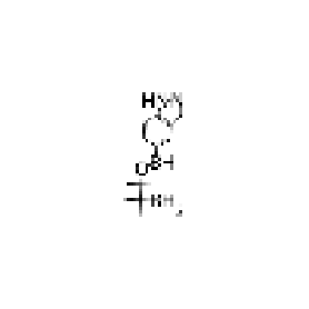 BC(C)(C)C(C)(C)OBc1ccc2[nH]ncc2c1